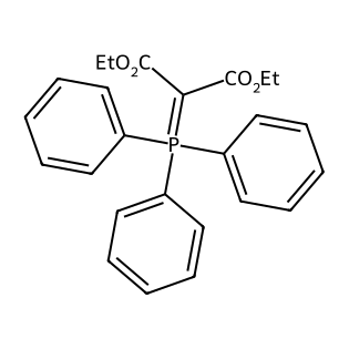 CCOC(=O)C(C(=O)OCC)=P(c1ccccc1)(c1ccccc1)c1ccccc1